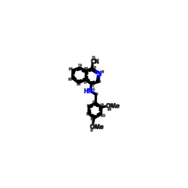 COc1ccc(CNc2cnc(C#N)c3ccccc23)c(OC)c1